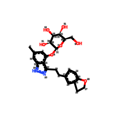 Cc1cc(O[C@@H]2O[C@H](CO)[C@@H](O)[C@H](O)[C@H]2O)c2c(CCc3ccc4c(c3)CCO4)n[nH]c2c1